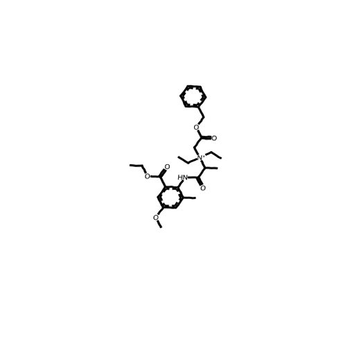 CCOC(=O)c1cc(OC)cc(C)c1NC(=O)C(C)[N+](CC)(CC)CC(=O)OCc1ccccc1